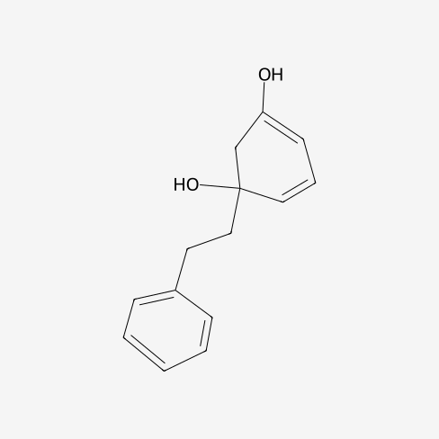 OC1=CC=CC(O)(CCc2ccccc2)C1